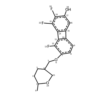 CC1CCC(COc2ccc3c(c2F)-c2c-3cc(O)c(F)c2F)CO1